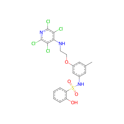 Cc1cc(NS(=O)(=O)c2ccccc2O)cc(OCCNc2c(Cl)c(Cl)nc(Cl)c2Cl)c1